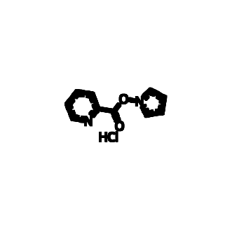 Cl.O=C(On1cccc1)c1ccccn1